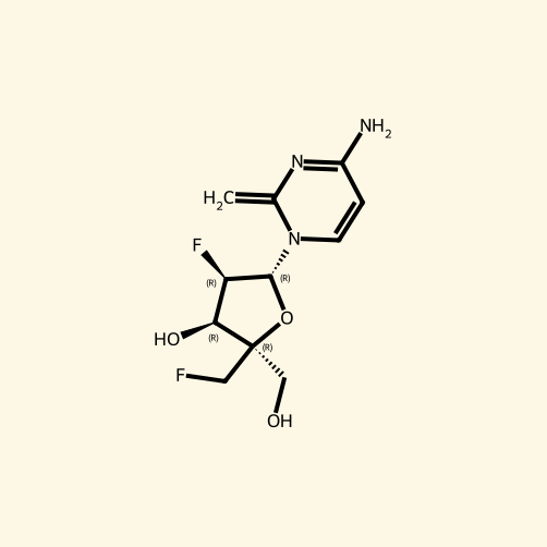 C=C1N=C(N)C=CN1[C@@H]1O[C@@](CO)(CF)[C@@H](O)[C@H]1F